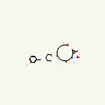 COc1cccc(CN(C)[C@H]2C[C@@H](C)O[C@@H](O[C@@H]3[C@@H](C)[C@H](O)[C@@H](C)C(=O)O[C@@H]4C(C)[C@@]45OC(=O)N[C@@H]5[C@@H](C)C(=O)[C@H](C)C[C@]3(C)OC)[C@@H]2O)c1